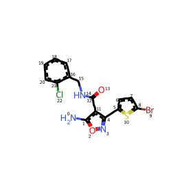 Nc1onc(-c2ccc(Br)s2)c1C(=O)NCc1ccccc1Cl